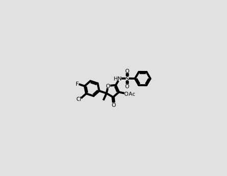 CC(=O)OC1=C(NS(=O)(=O)c2ccccc2)OC(C)(c2ccc(F)c(Cl)c2)C1=O